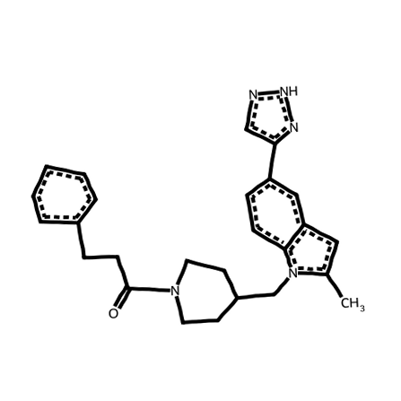 Cc1cc2cc(-c3cn[nH]n3)ccc2n1CC1CCN(C(=O)CCc2ccccc2)CC1